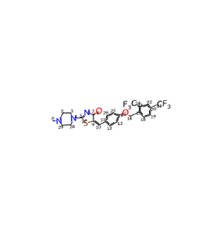 CN1CCN(C2=NC(=O)/C(=C\c3ccc(OCc4ccc(C(F)(F)F)cc4C(F)(F)F)cc3)S2)CC1